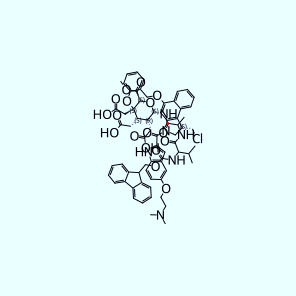 COC(=O)[C@H]1O[C@H](NC(=O)C(C)NC(=O)C(NC(=O)OCC2c3ccccc3-c3ccccc32)C(C)C)[C@H](CC(=O)O)[C@H](CC(=O)O)[C@]1(CC(=O)O)Oc1ccccc1COc1cc2c(c3ccccc13)[C@H](CCl)CN2C(=O)c1cc2cc(OCCN(C)C)ccc2[nH]1